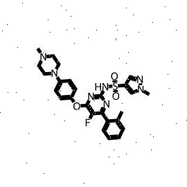 Cc1ccccc1-c1nc(NS(=O)(=O)c2cnn(C)c2)nc(Oc2ccc(N3CCN(C)CC3)cc2)c1F